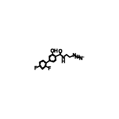 [N-]=[N+]=NCCNC(=O)c1ccc(-c2ccc(F)cc2F)cc1O